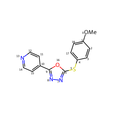 COc1ccc(Sc2nnc(-c3ccncc3)o2)cc1